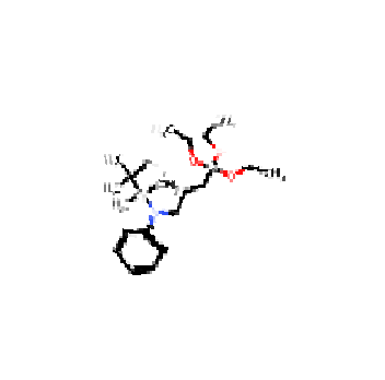 CCO[Si](CCCN(c1ccccc1)[Si](C)(C)C(C)(C)C)(OCC)OCC